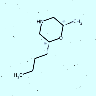 CCCC[C@@H]1CNC[C@H](C)O1